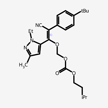 CCn1nc(C)cc1/C(OCOC(=O)OCCC(C)C)=C(\C#N)c1ccc(C(C)(C)C)cc1